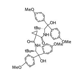 COc1ccc(C(O)(c2ccc(OC)cc2)[C@H](NC(=O)C2(C(=O)N[C@H](C(C)(C)C)C(O)(c3ccc(OC)cc3)c3ccc(OC)cc3)CC2)C(C)(C)C)cc1